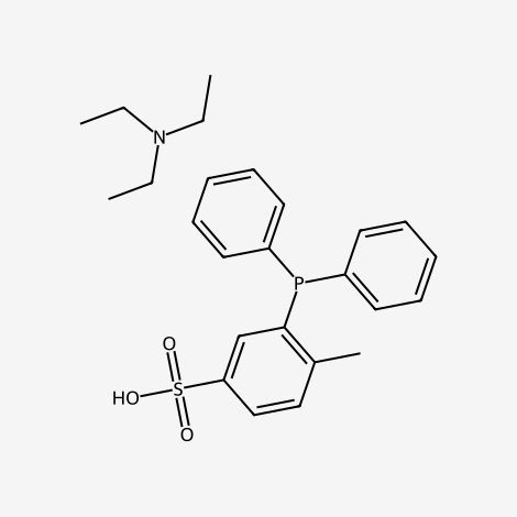 CCN(CC)CC.Cc1ccc(S(=O)(=O)O)cc1P(c1ccccc1)c1ccccc1